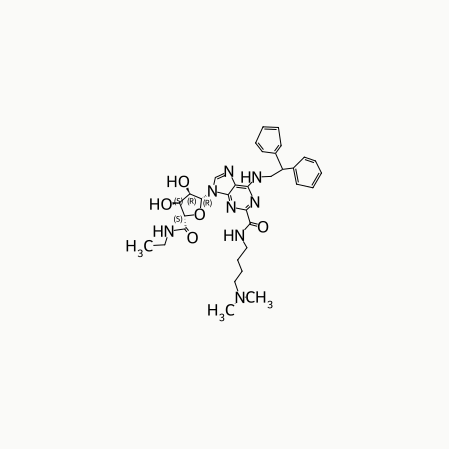 CCNC(=O)[C@H]1O[C@@H](n2cnc3c(NCC(c4ccccc4)c4ccccc4)nc(C(=O)NCCCCN(C)C)nc32)[C@H](O)[C@@H]1O